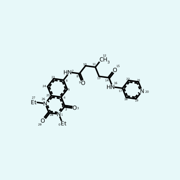 CCn1c(=O)c2cc(NC(=O)CC(C)CC(=O)Nc3ccncc3)ccc2n(CC)c1=O